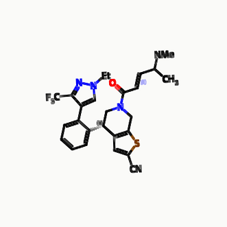 CCn1cc(-c2ccccc2[C@@H]2CN(C(=O)/C=C/C(C)NC)Cc3sc(C#N)cc32)c(C(F)(F)F)n1